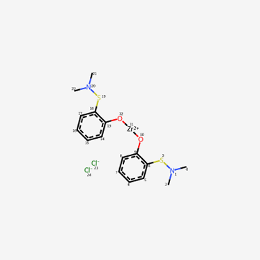 CN(C)Sc1ccccc1[O][Zr+2][O]c1ccccc1SN(C)C.[Cl-].[Cl-]